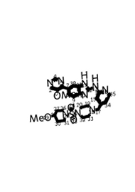 COc1cncnc1-c1ccc2nc(Nc3cc(CN4CCN(S(=O)(=O)N5CCC(OC)CC5)CC4)ccn3)[nH]c2c1